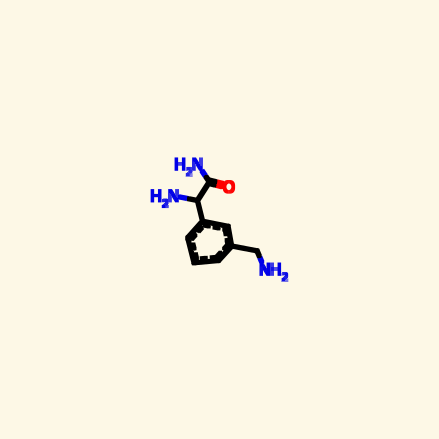 NCc1cccc(C(N)C(N)=O)c1